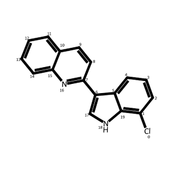 Clc1cccc2c(-c3ccc4ccccc4n3)c[nH]c12